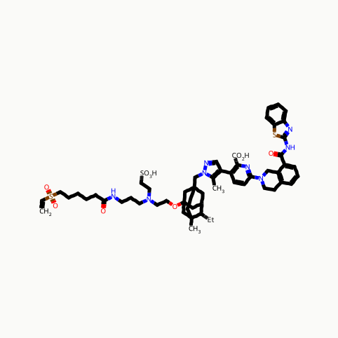 C=CS(=O)(=O)CCCCCC(=O)NCCCN(CCOC12CC3CC(Cn4ncc(-c5ccc(N6CCc7cccc(C(=O)Nc8nc9ccccc9s8)c7C6)nc5C(=O)O)c4C)(C1)CC(C)(C2)C3CC)CCS(=O)(=O)O